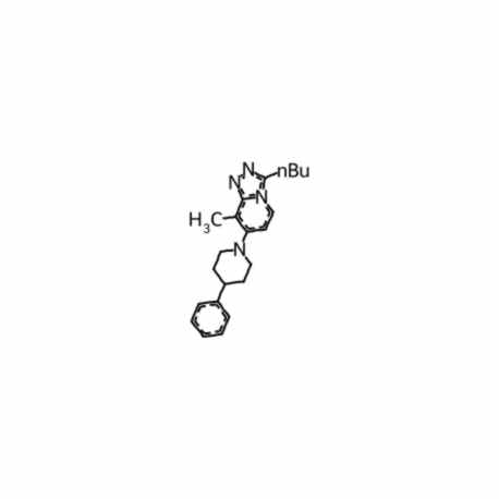 CCCCc1nnc2c(C)c(N3CCC(c4ccccc4)CC3)ccn12